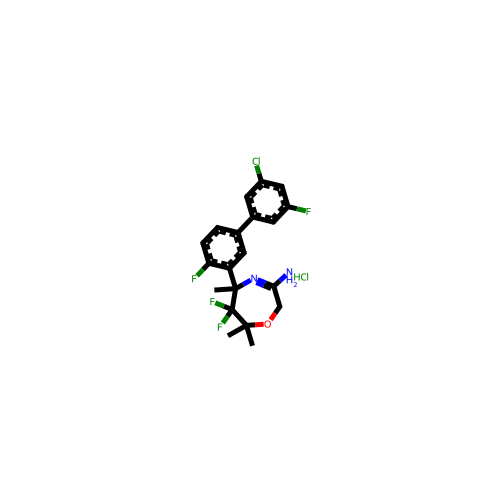 CC1(C)OCC(N)=NC(C)(c2cc(-c3cc(F)cc(Cl)c3)ccc2F)C1(F)F.Cl